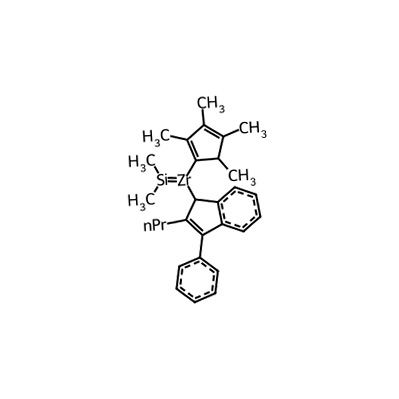 CCCC1=C(c2ccccc2)c2ccccc2[CH]1[Zr]([C]1=C(C)C(C)=C(C)C1C)=[Si](C)C